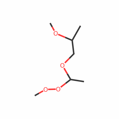 COOC(C)OCC(C)OC